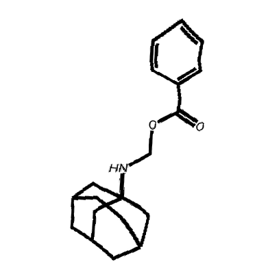 O=C(OCNC12CC3CC(CC(C3)C1)C2)c1ccccc1